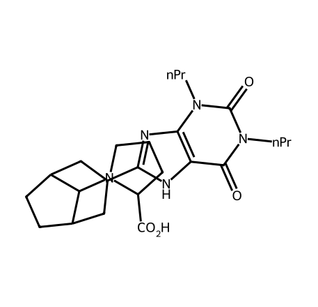 CCCn1c(=O)c2[nH]c(C3CC4CCC(C3)C4N3CCCC3C(=O)O)nc2n(CCC)c1=O